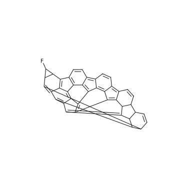 FC1C2C3=c4c5c6c7c8c9c%10c(c%11ccc%12c%13ccc%14c(c4c4c%14c%13c(c%12c%119)c8c64)C12)C=CC1C%10C=7C2C1C=CC3C52